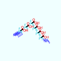 N.N.N.N.N.N.O=C(O)C(F)(F)F.O=C(O)C(F)(F)F.O=C(O)C(F)(F)F.O=C(O)C(F)(F)F.O=C(O)C(F)(F)F.O=C(O)C(F)(F)F